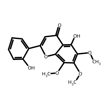 COc1c(OC)c(O)c2c(=O)cc(-c3ccccc3O)oc2c1OC